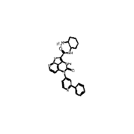 NC1CCCCC1NC(=O)c1sc2nccc3c2c1NC(=O)N3c1ccnc(-c2ccccc2)c1